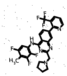 Cc1c(F)cc(Nc2nc(CN3CCCC3)nc3cc(-c4ncccc4C(F)(F)F)ccc23)c(F)c1F